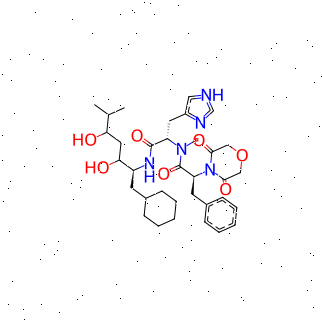 CC(C)C(O)CC(O)[C@H](CC1CCCCC1)NC(=O)[C@H](Cc1c[nH]cn1)N(C)C(=O)[C@H](Cc1ccccc1)N1C(=O)COCC1=O